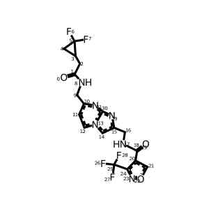 O=C(CC1CC1(F)F)NCc1ccn2cc(CNC(=O)c3conc3C(F)(F)F)nc2n1